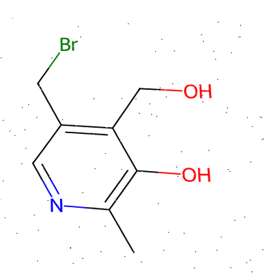 Cc1ncc(CBr)c(CO)c1O